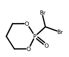 O=P1(C(Br)Br)OCCCO1